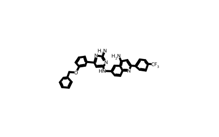 Nc1nc(Nc2ccc3nc(-c4ccc(C(F)(F)F)cc4)cc(N)c3c2)cc(-c2cccc(OCc3ccccc3)c2)n1